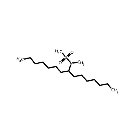 CCCCCCCC(CCCCCCC)N(C)S(C)(=O)=O